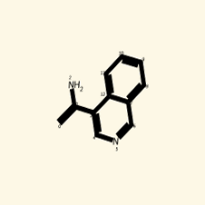 C=C(N)c1cncc2ccccc12